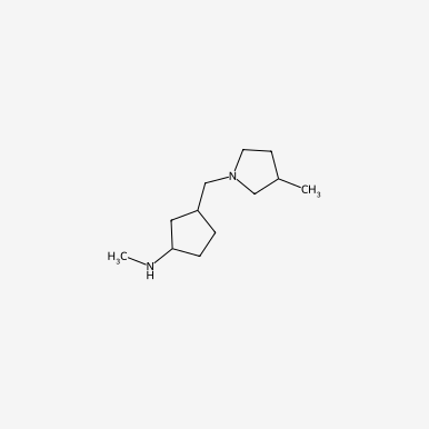 CNC1CCC(CN2CCC(C)C2)C1